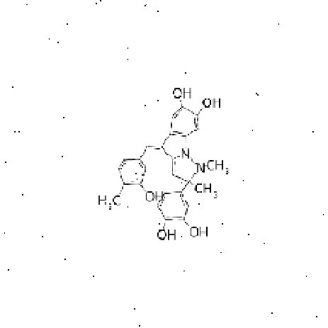 Cc1ccc(/C=c2\c3n(c4cc(O)c(O)cc24)N(C)C(C)(c2ccc(O)c(O)c2)C=3)cc1O